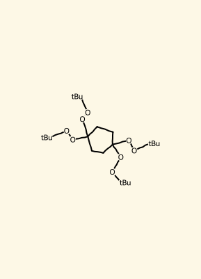 CC(C)(C)OOC1(OOC(C)(C)C)CCC(OOC(C)(C)C)(OOC(C)(C)C)CC1